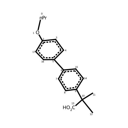 CCCOc1ccc(-c2ccc(C(C)(C)C(=O)O)cc2)cc1